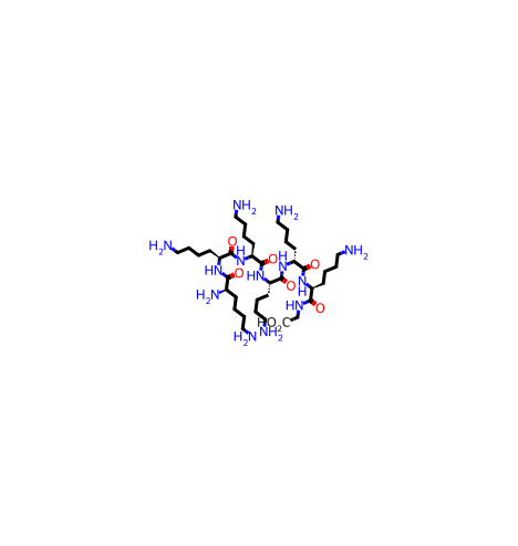 NCCCC[C@@H](N)C(=O)N[C@@H](CCCCN)C(=O)N[C@@H](CCCCN)C(=O)N[C@@H](CCCCN)C(=O)N[C@H](CCCCN)C(=O)N[C@@H](CCCCN)C(=O)NCC(=O)O